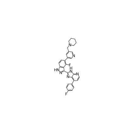 Fc1ccc(-c2ccnc3[nH]c(-c4n[nH]c5ccc(-c6cncc(CN7CCCCC7)c6)c(F)c45)nc23)cc1